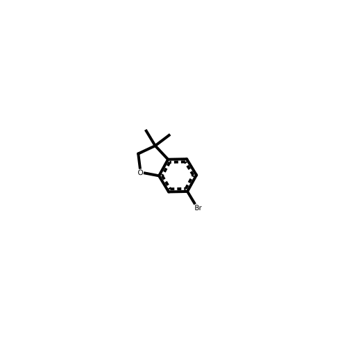 CC1(C)COc2cc(Br)ccc21